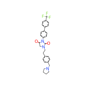 O=C1CN(CCc2ccc(CN3CCCC3)cc2)C(=O)N1c1ccc(-c2ccc(C(F)(F)F)cc2)cc1